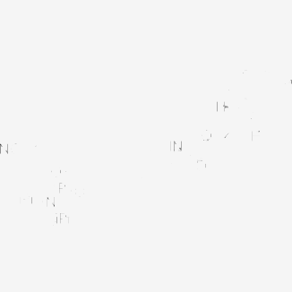 CC(C)N(C(C)C)P(OCCC#N)OCCCCCCNC(=O)OC[C@@H]1[C@@H]2CCC#CCC[C@@H]21